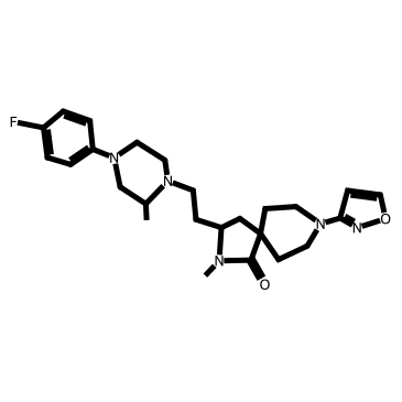 CC1CN(c2ccc(F)cc2)CCN1CCC1CC2(CCN(c3ccon3)CC2)C(=O)N1C